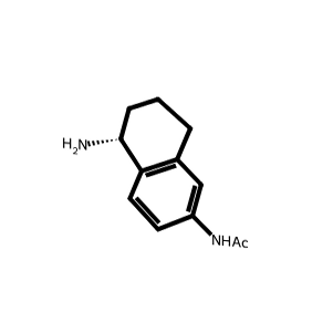 CC(=O)Nc1ccc2c(c1)CCC[C@H]2N